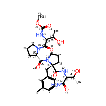 Cc1cccc(C[C@]2(C(=O)N[C@H](C(N)=O)[C@@H](C)O)CCCN2C(=O)[C@@H]2CCCN2C(=O)[C@@H](NC(=O)OC(C)(C)C)[C@@H](C)O)c1